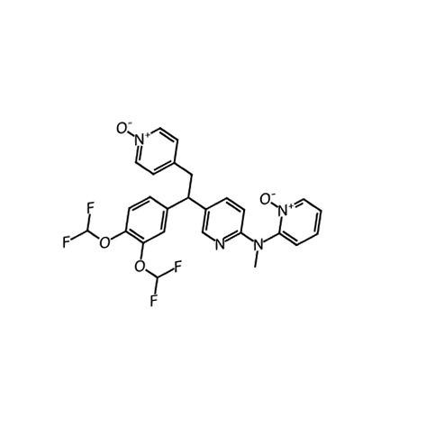 CN(c1ccc(C(Cc2cc[n+]([O-])cc2)c2ccc(OC(F)F)c(OC(F)F)c2)cn1)c1cccc[n+]1[O-]